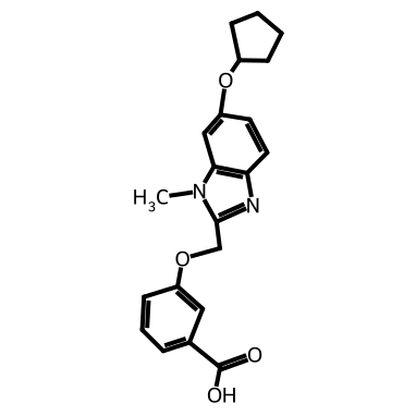 Cn1c(COc2cccc(C(=O)O)c2)nc2ccc(OC3CCCC3)cc21